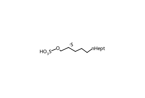 CCCCCCCCCCCCOS(=O)(=O)O.[S]